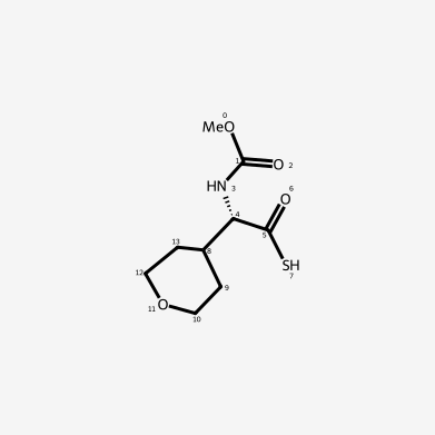 COC(=O)N[C@H](C(=O)S)C1CCOCC1